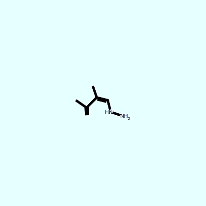 C=C(C)/C(C)=C\NN